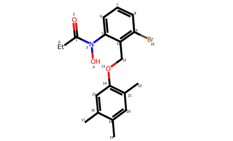 CCC(=O)N(O)c1cccc(Br)c1COc1cc(C)c(C)cc1C